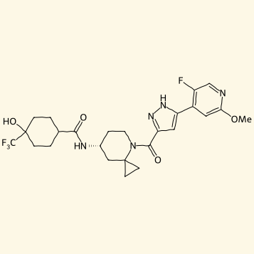 COc1cc(-c2cc(C(=O)N3CC[C@@H](NC(=O)C4CCC(O)(C(F)(F)F)CC4)CC34CC4)n[nH]2)c(F)cn1